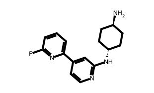 N[C@H]1CC[C@H](Nc2cc(-c3cccc(F)n3)ccn2)CC1